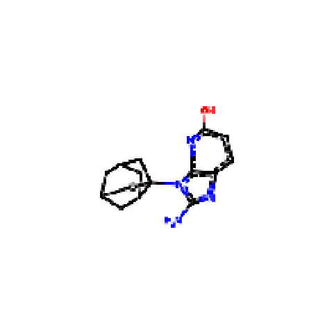 Nc1nc2ccc(O)nc2n1C12CC3CC(CC1C3)C2